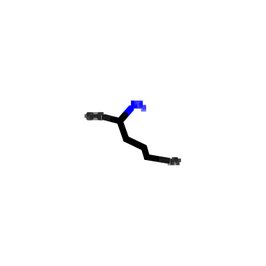 CCCCCCC(N)[C]=O